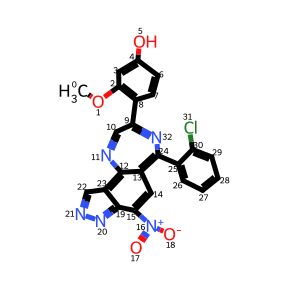 COc1cc(O)ccc1-c1cnc2c(cc([N+](=O)[O-])c3nncc32)c(-c2ccccc2Cl)n1